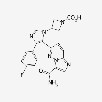 NC(=O)c1cnc2ccc(-c3c(-c4ccc(F)cc4)ncn3C3CN(C(=O)O)C3)nn12